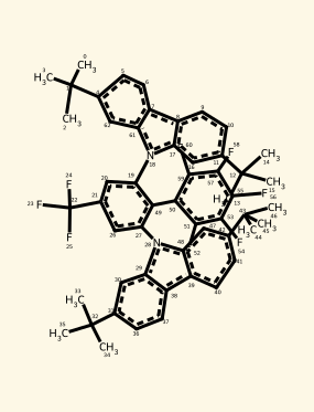 CC(C)(C)c1ccc2c3ccc(C(C)(C)C)cc3n(-c3cc(C(F)(F)F)cc(-n4c5cc(C(C)(C)C)ccc5c5ccc(C(C)(C)C)cc54)c3-c3c(F)c(F)c(F)c(F)c3F)c2c1